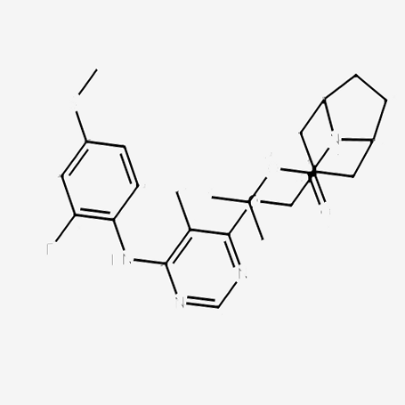 CSc1ccc(Nc2ncnc(OCC3CC4CCC(C3)N4C(=O)OC(C)C)c2C)c(F)c1